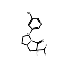 C[C@]1(C(F)F)CN2CC[C@@H](c3cncc(C#N)c3)N2C1=O